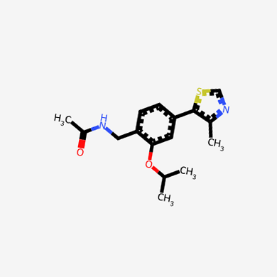 CC(=O)NCc1ccc(-c2scnc2C)cc1OC(C)C